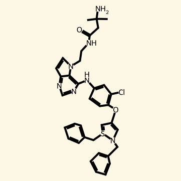 CC(C)(N)CC(=O)NCCn1ccc2ncnc(Nc3ccc(OC4=CN(Cc5ccccc5)S(Cc5ccccc5)=C4)c(Cl)c3)c21